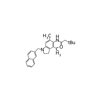 Cc1cc2c(c(C)c1NC(=O)CC(C)(C)C)CCN2Cc1ccc2ccccc2c1